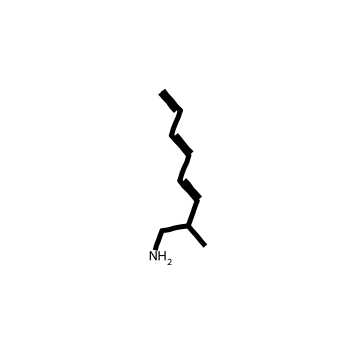 C=CC=CC=CC(C)CN